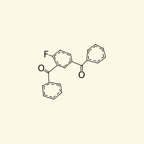 O=C(c1ccccc1)c1ccc(F)c(C(=O)c2ccccc2)c1